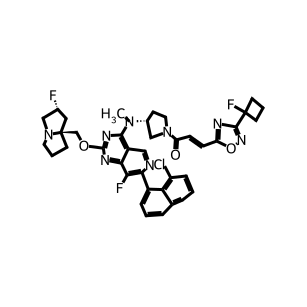 CN(c1nc(OC[C@@]23CCCN2C[C@H](F)C3)nc2c(F)c(-c3cccc4cccc(Cl)c34)ncc12)[C@@H]1CCN(C(=O)/C=C/c2nc(C3(F)CCC3)no2)C1